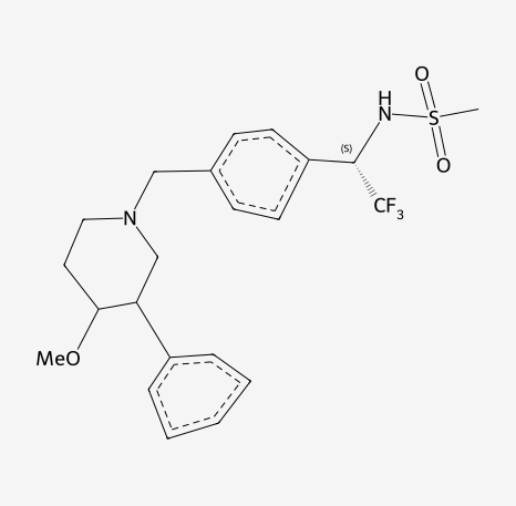 COC1CCN(Cc2ccc([C@H](NS(C)(=O)=O)C(F)(F)F)cc2)CC1c1ccccc1